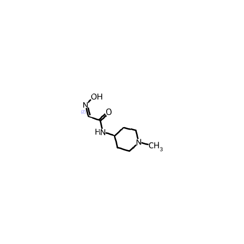 CN1CCC(NC(=O)/C=N\O)CC1